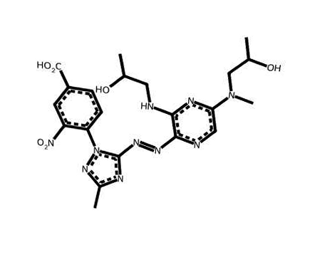 Cc1nc(N=Nc2ncc(N(C)CC(C)O)nc2NCC(C)O)n(-c2ccc(C(=O)O)cc2[N+](=O)[O-])n1